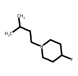 CC(C)CCN1CCC(F)CC1